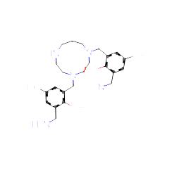 Cc1cc(CN)c(O)c(CN2CCCNCCN(Cc3cc(C)cc(CN)c3O)CC2)c1